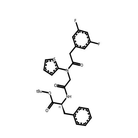 CC(C)(C)OC(=O)[C@H](Cc1ccccc1)NC(=O)CN(C(=O)Cc1cc(F)cc(F)c1)c1cccs1